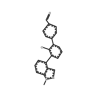 Cn1ncc2c(-c3cccc(-c4ccc(C=O)cc4)c3Cl)cccc21